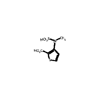 O=C(O)c1sccc1N(C(F)(F)F)S(=O)(=O)O